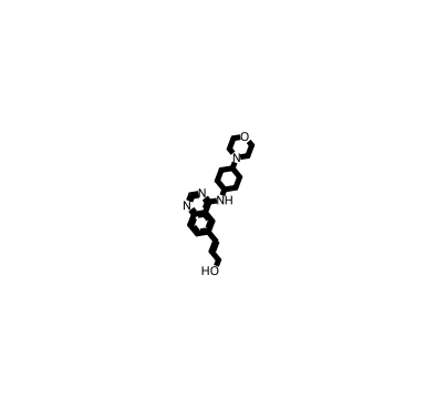 OCC=Cc1ccc2ncnc(NC3CCC(N4CCOCC4)CC3)c2c1